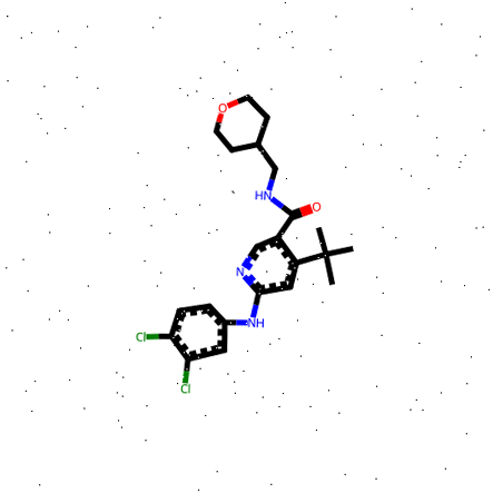 CC(C)(C)c1cc(Nc2ccc(Cl)c(Cl)c2)ncc1C(=O)NCC1CCOCC1